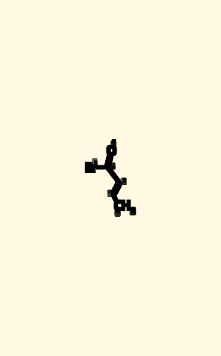 CC=CC(=O)Br